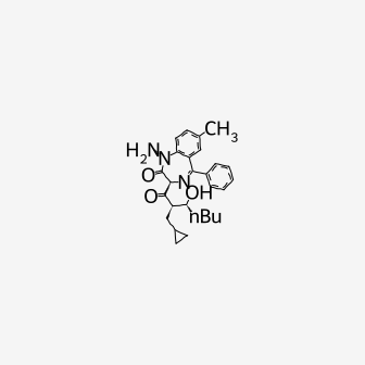 CCCC[C@H](O)[C@@H](CC1CC1)C(=O)[C@@H]1N=C(c2ccccc2)c2cc(C)ccc2N(N)C1=O